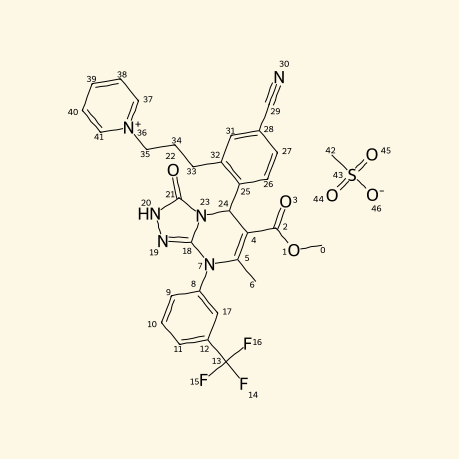 COC(=O)C1=C(C)N(c2cccc(C(F)(F)F)c2)c2n[nH]c(=O)n2C1c1ccc(C#N)cc1CCC[n+]1ccccc1.CS(=O)(=O)[O-]